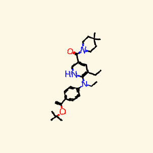 C=C(OC(C)(C)C)c1ccc(N(CC)C2=C(CC)C=C(C(=O)N3CCC(C)(C)CC3)CN2)cc1